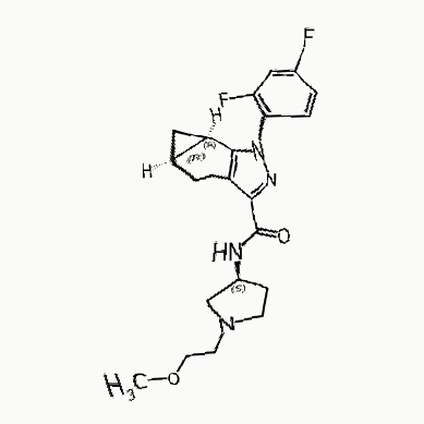 COCCN1CC[C@H](NC(=O)c2nn(-c3ccc(F)cc3F)c3c2C[C@H]2C[C@@H]32)C1